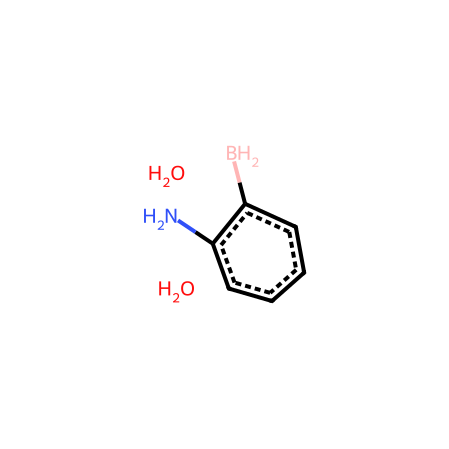 Bc1ccccc1N.O.O